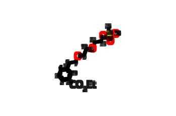 CCOC(=O)c1cccc(CCOCCOCCOS(C)(=O)=O)c1